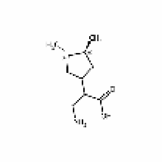 C[C@H]1CC(C(CN)C(=O)O)C[C@@H]1C